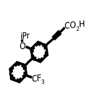 CC(C)Oc1cc(C#CC(=O)O)ccc1-c1ccccc1C(F)(F)F